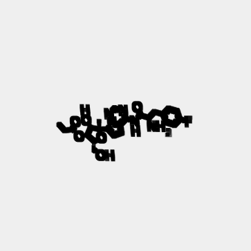 CCC(=O)O[C@H]1[C@@H](O)[C@](C)(c2ccc3c(NC(=O)[C@@H](N)Cc4ccc(F)cc4)ncnn23)O[C@@H]1CO